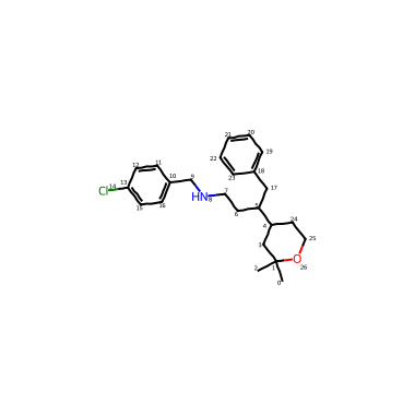 CC1(C)CC(C(CCNCc2ccc(Cl)cc2)Cc2ccccc2)CCO1